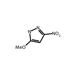 COC1=CC([N+](=O)[O-])=N[N]1